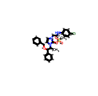 CC(C(OCc1ccccc1)c1ccccc1)N1C=CN(CCNc2ccc(Cl)cc2)C1OS(C)(=O)=O